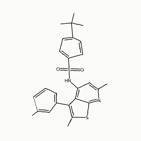 Cc1cccc(-c2c(C)sc3nc(C)cc(NS(=O)(=O)c4ccc(C(C)(C)C)cc4)c23)c1